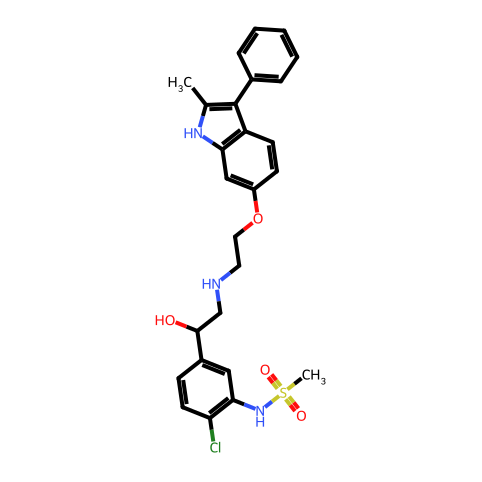 Cc1[nH]c2cc(OCCNCC(O)c3ccc(Cl)c(NS(C)(=O)=O)c3)ccc2c1-c1ccccc1